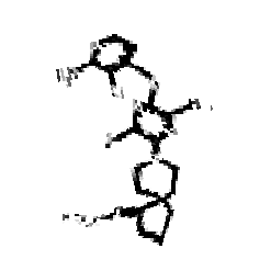 Nc1nc(N2CCC3(CCCC3=NC(=O)O)CC2)c(Br)nc1Sc1ccnc(N)c1Cl